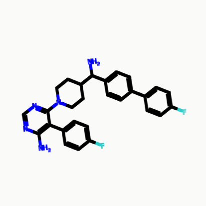 Nc1ncnc(N2CCC(C(N)c3ccc(-c4ccc(F)cc4)cc3)CC2)c1-c1ccc(F)cc1